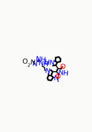 CN(C)c1cccc2c1c(C1=C(c3c[nH]c4ccccc34)C(=O)NC1=O)cn2CCCNC(N)=N[N+](=O)[O-]